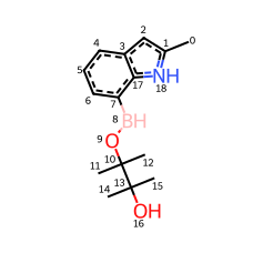 Cc1cc2cccc(BOC(C)(C)C(C)(C)O)c2[nH]1